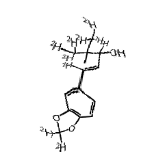 [2H]/C(=C\C([2H])(O)C(C)(C([2H])([2H])[2H])C([2H])([2H])[2H])c1ccc2c(c1)OC([2H])([2H])O2